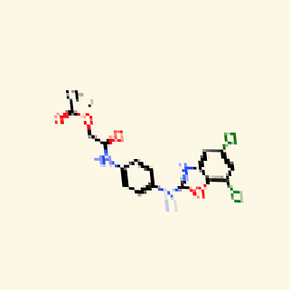 CC(=O)OCC(=O)Nc1ccc(Nc2nc3cc(Cl)cc(Cl)c3o2)cc1